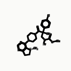 CC(C)N(CC(O)(C(=O)N1CCN(c2ncnc3c2[C@H](C)CC3)CC1)c1ccc(Cl)cc1)C(=O)OC(C)(C)C